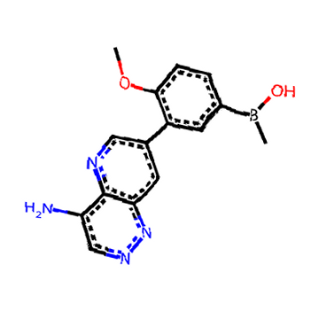 COc1ccc(B(C)O)cc1-c1cnc2c(N)cnnc2c1